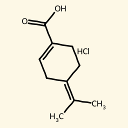 CC(C)=C1CC=C(C(=O)O)CC1.Cl